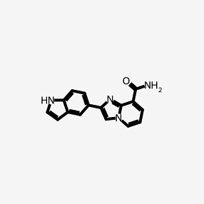 NC(=O)c1cccn2cc(-c3ccc4[nH]ccc4c3)nc12